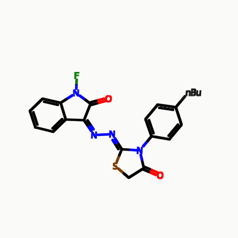 CCCCc1ccc(N2C(=O)CSC2=NN=C2C(=O)N(F)c3ccccc32)cc1